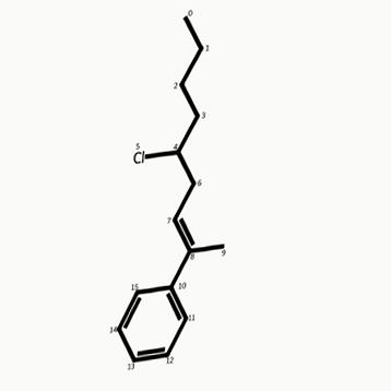 CCCCC(Cl)CC=C(C)c1ccccc1